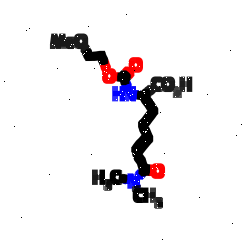 COCCOC(=O)NC(CC/C=C/C(=O)N(C)C)C(=O)O